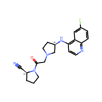 N#C[C@@H]1CCCN1C(=O)CN1CC[C@@H](Nc2ccnc3ccc(F)cc23)C1